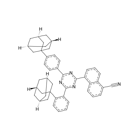 N#Cc1cccc2c(-c3nc(-c4ccc(C56C[C@H]7C[C@H](C5)C[C@@H](C6)C7)cc4)nc(-c4ccccc4C45C[C@H]6C[C@@H](C4)C[C@@H](C5)C6)n3)cccc12